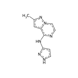 Cc1cc2c(Nc3cc[nH]n3)nccn2n1